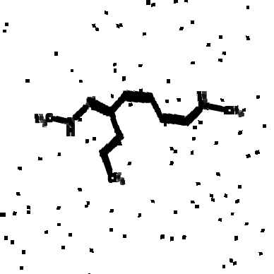 CCCC(/C=C\C=C/NC)=N\NC